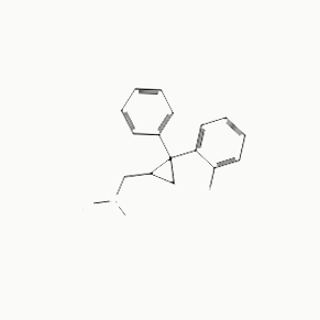 CN(C)CC1CC1(c1ccccc1)c1ccccc1C(F)(F)F